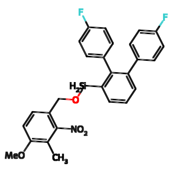 COc1ccc(CO[SiH2]c2cccc(-c3ccc(F)cc3)c2-c2ccc(F)cc2)c([N+](=O)[O-])c1C